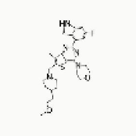 COCCC1CCN(Cc2sc3c(N4CCOCC4)nc(-c4cc(F)cc5[nH]ccc45)nc3c2C)CC1